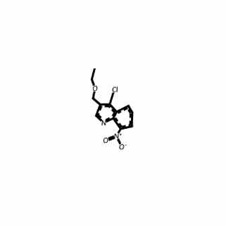 CCOCc1cnc2c([N+](=O)[O-])cccc2c1Cl